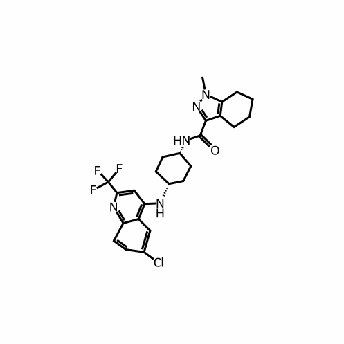 Cn1nc(C(=O)N[C@H]2CC[C@@H](Nc3cc(C(F)(F)F)nc4ccc(Cl)cc34)CC2)c2c1CCCC2